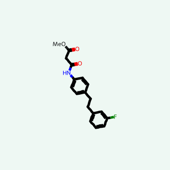 COC(=O)CC(=O)Nc1ccc(CCc2cccc(F)c2)cc1